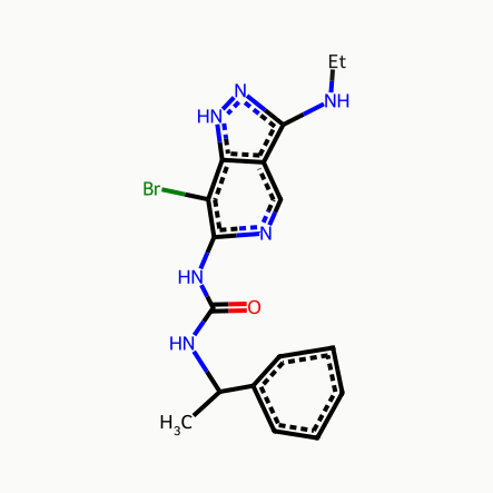 CCNc1n[nH]c2c(Br)c(NC(=O)NC(C)c3ccccc3)ncc12